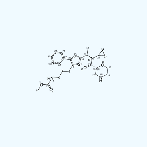 COC(=O)NCCCc1sc(C(C)N(C(=O)[C@H]2CNCCO2)C2CC2)cc1-c1cccnc1